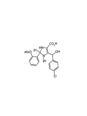 CCC1(c2ccccc2OC)NC(C(=O)O)=C(C(O)c2ccc(Cl)cc2)N1C(C)C